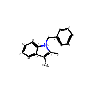 CC(=O)c1c(C)n(Cc2ccccc2)c2ccccc12